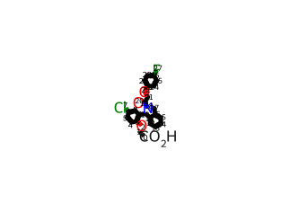 O=C(O)COc1ccc(Cl)cc1C1c2ccccc2CN1C(=O)COc1ccc(F)cc1